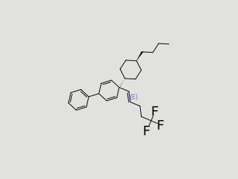 CCCC[C@H]1CC[C@H](C2(/C=C/CCC(F)(F)F)C=CC(c3ccccc3)C=C2)CC1